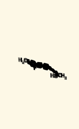 C=CCc1ccc(-c2ccc(-c3ccc(C=CCCCC(C)O)cc3)cc2)c(F)c1